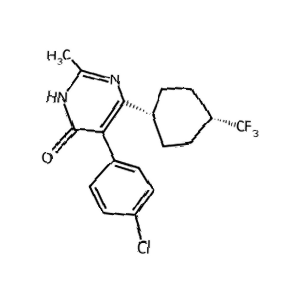 Cc1nc([C@H]2CC[C@@H](C(F)(F)F)CC2)c(-c2ccc(Cl)cc2)c(=O)[nH]1